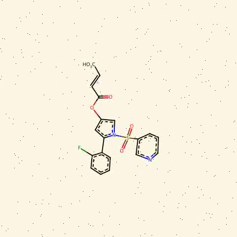 O=C(O)/C=C/C(=O)Oc1cc(-c2ccccc2F)n(S(=O)(=O)c2cccnc2)c1